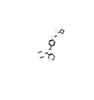 C[C@H]1COCCN1c1nc(-c2ccc(NC(=O)NC3CCC3)cc2)nc2c1CNCC2